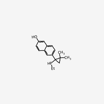 CCPC1(c2ccc3cc(O)ccc3c2)CC1(C)C